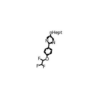 CCCCCCCc1cnc(-c2ccc(OC(F)C(F)F)cc2)nc1